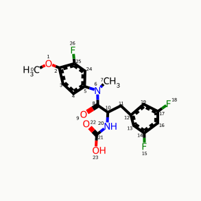 COc1ccc(N(C)C(=O)C(Cc2cc(F)cc(F)c2)NC(=O)O)cc1F